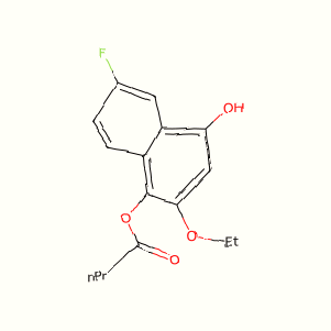 CCCC(=O)Oc1c(OCC)cc(O)c2cc(F)ccc12